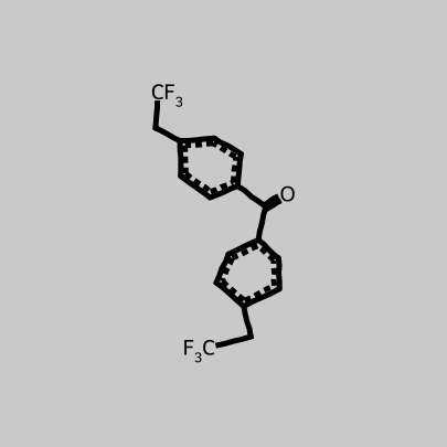 O=C(c1ccc(CC(F)(F)F)cc1)c1ccc(CC(F)(F)F)cc1